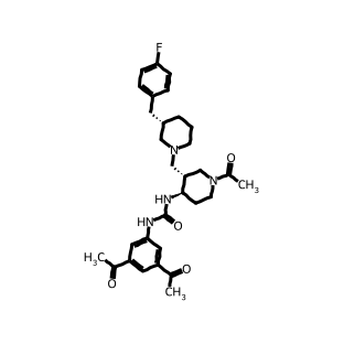 CC(=O)c1cc(NC(=O)N[C@@H]2CCN(C(C)=O)C[C@H]2CN2CCC[C@@H](Cc3ccc(F)cc3)C2)cc(C(C)=O)c1